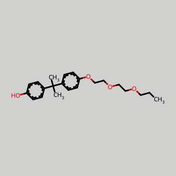 CCCOCCOCCOc1ccc(C(C)(C)c2ccc(O)cc2)cc1